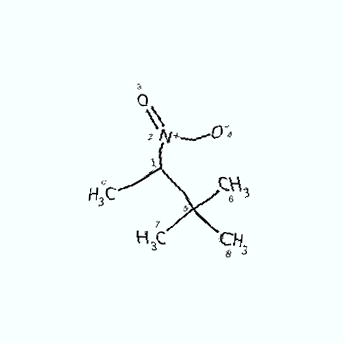 CC([N+](=O)[O-])C(C)(C)C